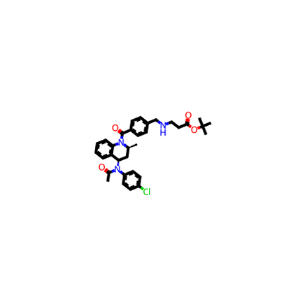 CC(=O)N(c1ccc(Cl)cc1)[C@@H]1C[C@H](C)N(C(=O)c2ccc(CNCCC(=O)OC(C)(C)C)cc2)c2ccccc21